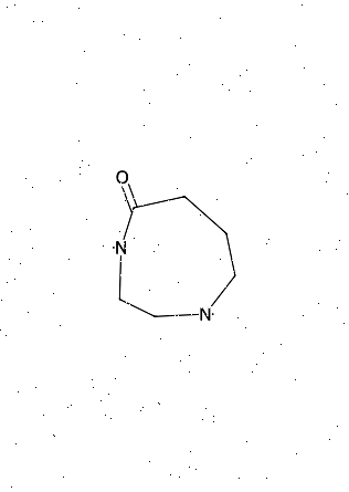 O=C1CCC[N]CC[N]1